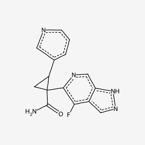 NC(=O)C1(c2ncc3[nH]ncc3c2F)CC1c1cccnc1